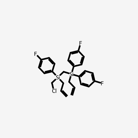 C=CC[Si](CCl)(C[Si](CC=C)(c1ccc(F)cc1)c1ccc(F)cc1)c1ccc(F)cc1